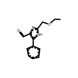 CCOCc1nc(C=O)c(-c2ccccc2)[nH]1